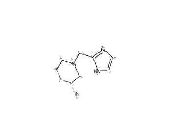 CC(C)[C@@H]1CCCN(Cc2ncc[nH]2)C1